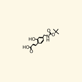 CC(C)(C)OC(=O)NCc1ccc(C=CC(=O)O)c(O)c1